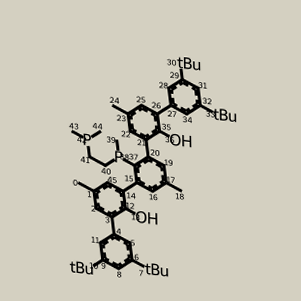 Cc1cc(-c2cc(C(C)(C)C)cc(C(C)(C)C)c2)c(O)c(-c2cc(C)cc(-c3cc(C)cc(-c4cc(C(C)(C)C)cc(C(C)(C)C)c4)c3O)c2P(C)CCP(C)C)c1